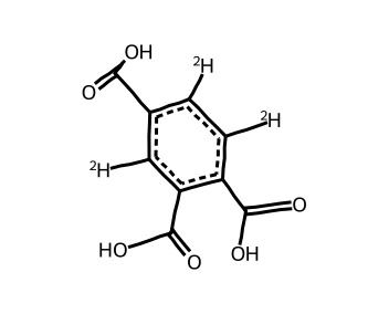 [2H]c1c([2H])c(C(=O)O)c(C(=O)O)c([2H])c1C(=O)O